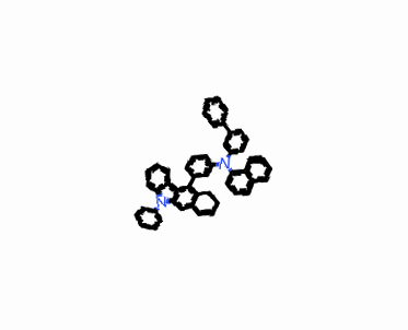 c1ccc2cccc(N(c3cccc(-c4ccccc4)c3)c3cccc(-c4c5c(cc6c4c4ccccc4n6-c4ccccc4)C=CCC5)c3)c2c#1